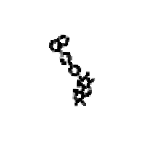 Cc1cnc2c(ccc3c(C)c(C)c(-c4ccc(-c5ccc(-c6cccc7ccccc67)cc5)cc4)nc32)c1C